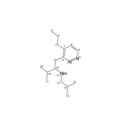 CCCc1ccnnc1CC(NCC(C)C)C(C)C